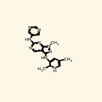 CC1=CNC(C)C(Nc2nn(C)c3nc(Nc4cncnc4)ncc23)=C1